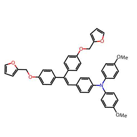 COc1ccc(N(c2ccc(C=C(c3ccc(OCc4ccco4)cc3)c3ccc(OCc4ccco4)cc3)cc2)c2ccc(OC)cc2)cc1